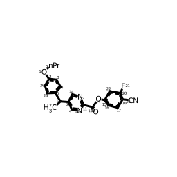 CCCOc1ccc(C(C)c2cnc(C(=O)Oc3ccc(C#N)c(F)c3)nc2)cc1